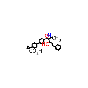 Cc1noc(-c2ccc(-c3ccc(C4(C(=O)O)CC4)cc3)cc2)c1C(O)C=Cc1ccccc1